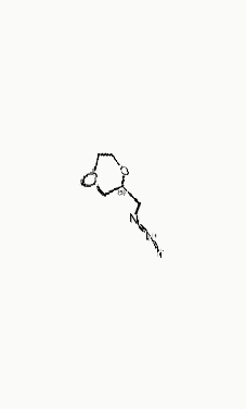 [N-]=[N+]=NC[C@H]1COCCO1